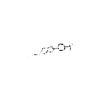 CCCc1ccc2nc(-c3ccc(C(F)(F)F)cc3)sc2c1